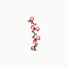 O=C(CCCC(=O)OCC1CO1)OCC1CO1